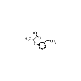 CCc1cccc(O[C@H](C)C(=O)O)c1